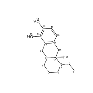 CCN1CCCC2Cc3c(ccc(O)c3O)C[C@H]21